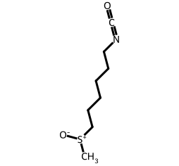 C[S+]([O-])CCCCCCN=C=O